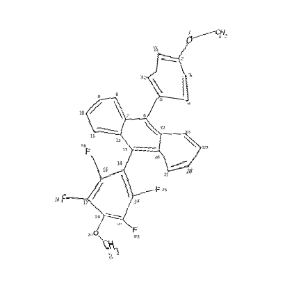 COc1ccc(-c2c3ccccc3c(-c3c(F)c(F)c(OC)c(F)c3F)c3ccccc23)cc1